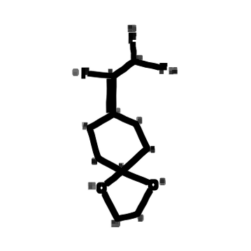 FC(=C1CCC2(CC1)OCCO2)C(F)F